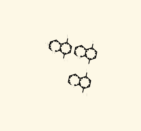 Oc1ccc(F)c2cccnc12.Oc1ccc(F)c2cccnc12.Oc1ccc(F)c2cccnc12.[AlH3]